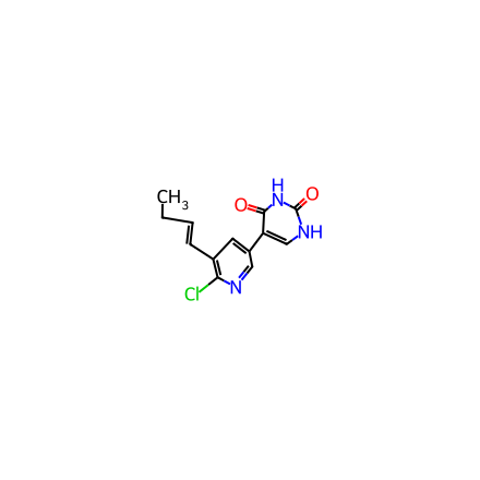 CCC=Cc1cc(-c2c[nH]c(=O)[nH]c2=O)cnc1Cl